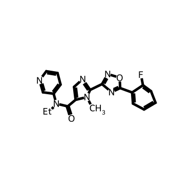 CCN(C(=O)c1cnc(-c2noc(-c3ccccc3F)n2)n1C)c1cccnc1